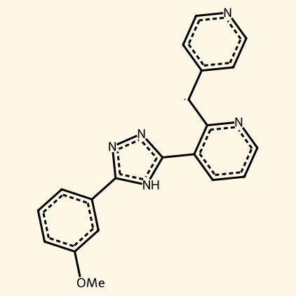 COc1cccc(-c2nnc(-c3cccnc3[CH]c3ccncc3)[nH]2)c1